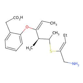 C/C=C(/Oc1ccccc1CC(=O)O)[C@H](C)C(C)S/C(=C\CC)CN